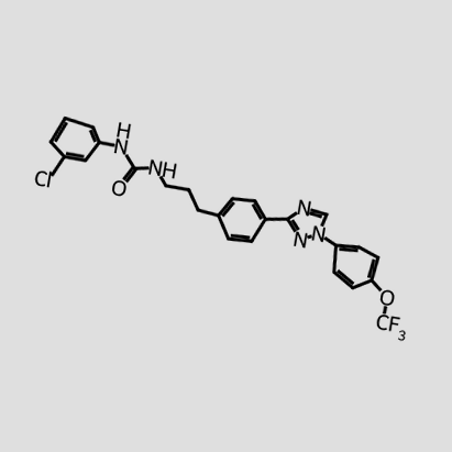 O=C(NCCCc1ccc(-c2ncn(-c3ccc(OC(F)(F)F)cc3)n2)cc1)Nc1cccc(Cl)c1